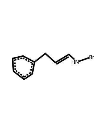 BrNC=CCc1ccccc1